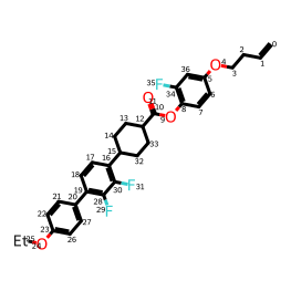 C=CCCOc1ccc(OC(=O)C2CCC(c3ccc(-c4ccc(OCC)cc4)c(F)c3F)CC2)c(F)c1